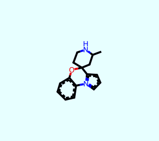 CC1CC2(CCN1)Oc1ccccc1-n1cccc12